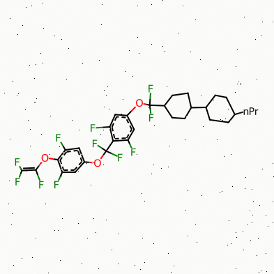 CCCC1CCC(C2CCC(C(F)(F)Oc3cc(F)c(C(F)(F)Oc4cc(F)c(OC(F)=C(F)F)c(F)c4)c(F)c3)CC2)CC1